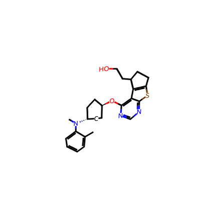 Cc1ccccc1N(C)[C@H]1CC[C@H](Oc2ncnc3sc4c(c23)C(CCO)CC4)CC1